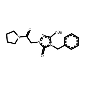 CCCCc1nn(CC(=O)N2CCCC2)c(=O)n1Cc1ccccc1